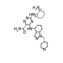 NC(=O)c1nnc(N[C@@H]2CCCC[C@@H]2N)nc1Nc1cccc2c1cnn2Cc1ccncc1